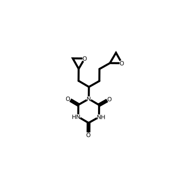 O=c1[nH]c(=O)n(C(CCC2CO2)CC2CO2)c(=O)[nH]1